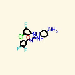 N[C@H]1CC[C@H](N/C(=N/C(=O)c2ccc(F)c(F)c2)Nc2cc(F)cc(Cl)c2)CC1